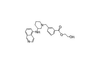 O=C(OCCO)c1cccc(CN2CCCC(Nc3cccc4cnccc34)C2)c1